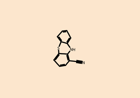 N#Cc1cccc2c1Nc1ccccc1S2